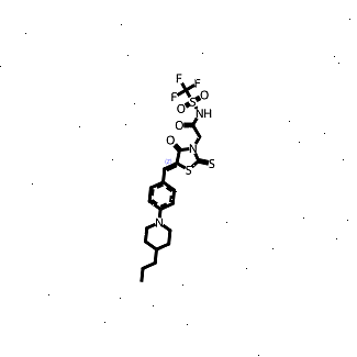 CCCC1CCN(c2ccc(/C=C3\SC(=S)N(CC(=O)NS(=O)(=O)C(F)(F)F)C3=O)cc2)CC1